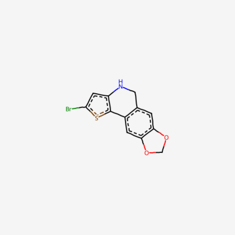 Brc1cc2c(s1)-c1cc3c(cc1CN2)OCO3